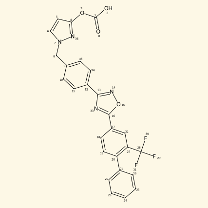 O=C(O)Oc1ccn(Cc2ccc(-c3noc(-c4ccc(-c5ccccc5)c(C(F)(F)F)c4)n3)cc2)n1